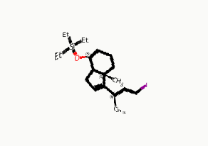 CC[Si](CC)(CC)O[C@H]1CCC[C@]2(C)C([C@H](C)CCI)=CCC12